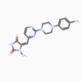 Cc1ccc(N2CCN(c3nccc(/C=C4\C(=O)NC(=O)N4C)n3)CC2)cc1